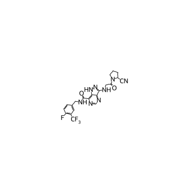 N#CC1CCCN1C(=O)CNc1n[nH]c2c(C(=O)NCc3ccc(F)c(C(F)(F)F)c3)ncnc12